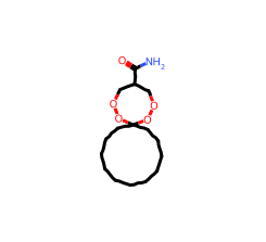 NC(=O)C1COOC2(CCCCCCCCCCC2)OOC1